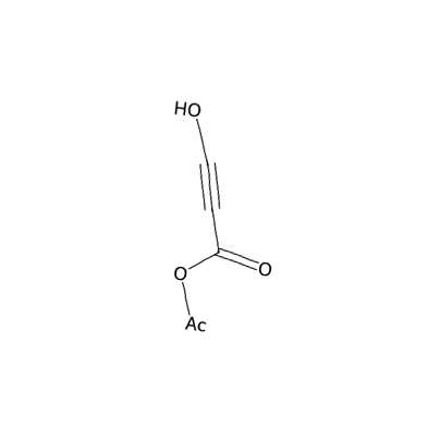 CC(=O)OC(=O)C#CO